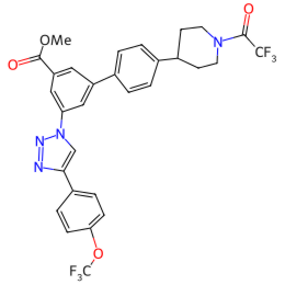 COC(=O)c1cc(-c2ccc(C3CCN(C(=O)C(F)(F)F)CC3)cc2)cc(-n2cc(-c3ccc(OC(F)(F)F)cc3)nn2)c1